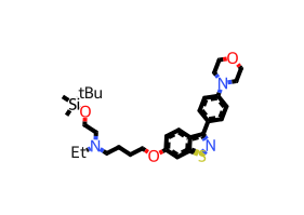 CCN(CCCCOc1ccc2c(-c3ccc(N4CCOCC4)cc3)nsc2c1)CCO[Si](C)(C)C(C)(C)C